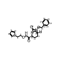 O=C(NOCCn1cccc1)[C@@H]1CC[C@@H]2CN1C(=O)N2OCc1ccccc1